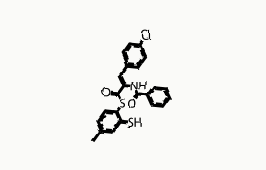 Cc1ccc(SC(=O)C(=Cc2ccc(Cl)cc2)NC(=O)c2ccccc2)c(S)c1